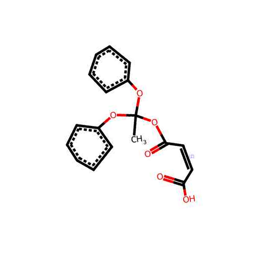 CC(OC(=O)/C=C\C(=O)O)(Oc1ccccc1)Oc1ccccc1